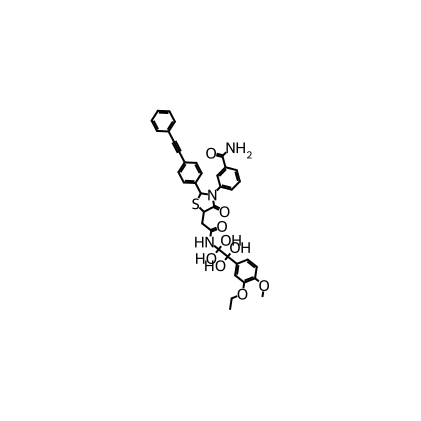 CCOc1cc(C(O)(O)C(O)(O)NC(=O)CC2SC(c3ccc(C#Cc4ccccc4)cc3)N(c3cccc(C(N)=O)c3)C2=O)ccc1OC